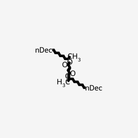 CCCCCCCCCCCCCCCCC(C)OC(=O)/C=C/C(=O)OC(C)CCCCCCCCCCCCCCCC